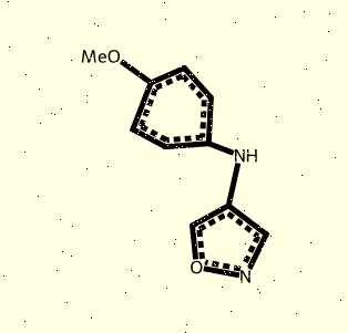 COc1ccc(Nc2cnoc2)cc1